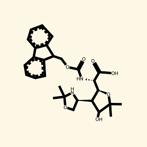 CC1(C)N[C@@H](C2C(O)C(C)(C)O[C@@H]2[C@H](NC(=O)OCC2c3ccccc3-c3ccccc32)C(=O)O)CO1